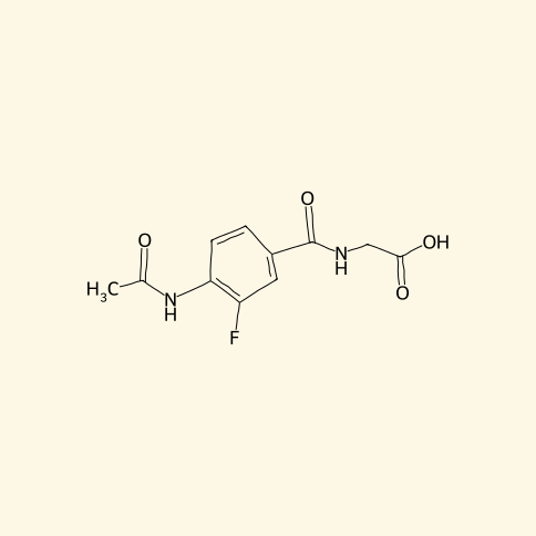 CC(=O)Nc1ccc(C(=O)NCC(=O)O)cc1F